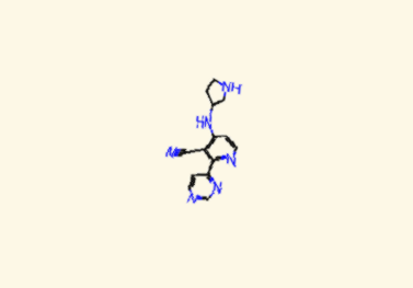 N#Cc1c(NC2CCNC2)ccnc1-c1ccncn1